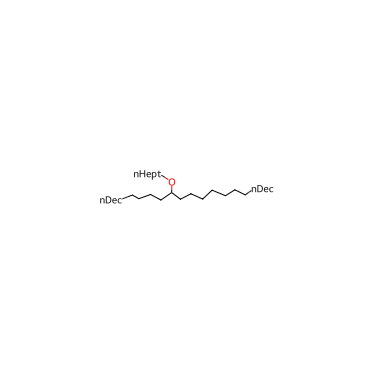 CCCCCCCCCCCCCCCCCC(CCCCCCCCCCCCCC)OCCCCCCC